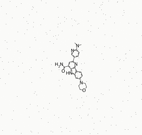 CN(C)c1ccc(-c2cc(C(N)=O)c3[nH]c4cc(N5CCOCC5)ccc4c3n2)cn1